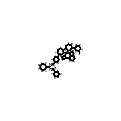 CC1=CC(C2=CC3=C(CC=C2)C2=C(C=C(c4ccc(-c5nc(C6=CC=C=CC=C6)nc(-c6ccccc6)n5)cc4)C=CC2)C32c3ccccc3-c3cccc4cccc2c34)=CCC1